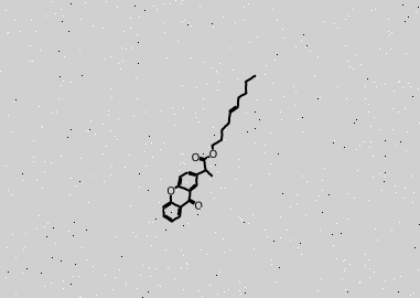 CCCCC=CCCCCOC(=O)C(C)c1ccc2oc3ccccc3c(=O)c2c1